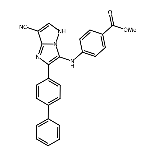 COC(=O)c1ccc(Nc2c(-c3ccc(-c4ccccc4)cc3)nc3c(C#N)c[nH]n23)cc1